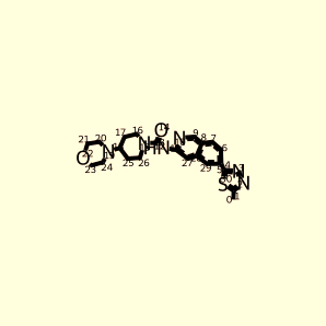 Cc1nnc(-c2ccc3cnc(NC(=O)N4CCC(N5CCOCC5)CC4)cc3c2)s1